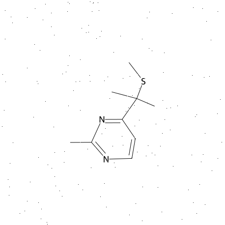 CSC(C)(C)c1ccnc(C)n1